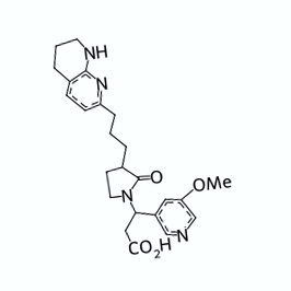 COc1cncc(C(CC(=O)O)N2CCC(CCCc3ccc4c(n3)NCCC4)C2=O)c1